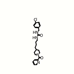 O=C(NCCCCC1CCN(C(=O)c2ccccn2)CC1)NCc1ccc(Cl)cc1